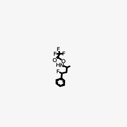 CC(CC(F)c1ccccc1)NOC(=O)C(F)(F)F